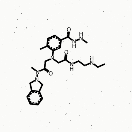 CCNCCNC(=O)CN(CC(=O)N(C)N1Cc2ccccc2C1)c1cc(C(=O)NNC)ccc1C